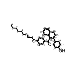 CCCCCCN=CCOc1ccc(C(=O)c2c(-c3ccc(O)cc3)ccc3ccccc23)cc1